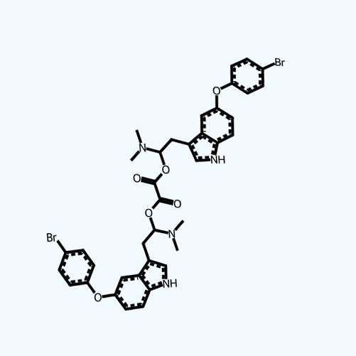 CN(C)C(Cc1c[nH]c2ccc(Oc3ccc(Br)cc3)cc12)OC(=O)C(=O)OC(Cc1c[nH]c2ccc(Oc3ccc(Br)cc3)cc12)N(C)C